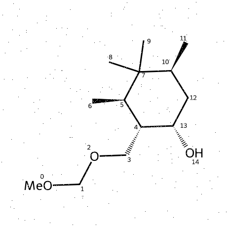 COCOC[C@@H]1[C@@H](C)C(C)(C)[C@@H](C)C[C@@H]1O